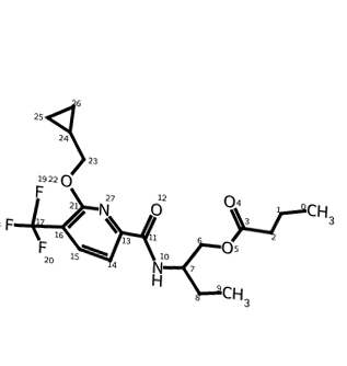 CCCC(=O)OCC(CC)NC(=O)c1ccc(C(F)(F)F)c(OCC2CC2)n1